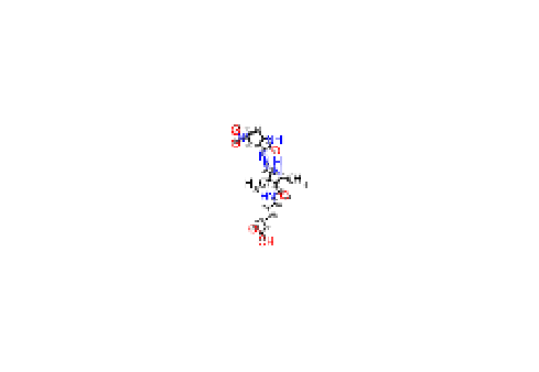 Cc1[nH]c(/C=N/N=C2\C(=O)Nc3ccc([N+](=O)[O-])cc32)c(C)c1C(=O)NCCCCCC(=O)O